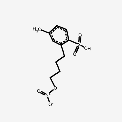 Cc1ccc(S(=O)(=O)O)c(CCCCO[N+](=O)[O-])c1